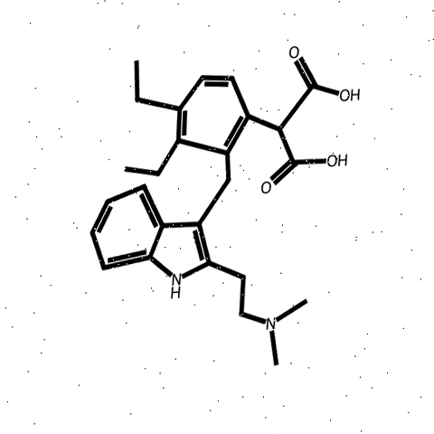 CCc1ccc(C(C(=O)O)C(=O)O)c(Cc2c(CCN(C)C)[nH]c3ccccc23)c1CC